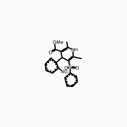 COC(=O)C1=C(C)NC(C)=C(S(=O)(=O)c2ccccc2)C1c1ccccc1[N+](=O)[O-]